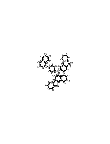 CC1(C)c2ccccc2-c2cc(N(c3ccc(-c4cccc5ccccc45)cc3)c3cc4c5ccccc5sc4c4ccccc34)ccc21